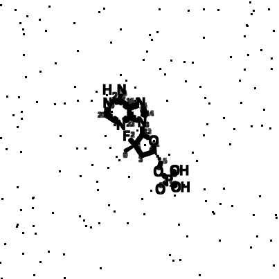 C[C@]1(F)C[C@@H](COP(=O)(O)O)OC1n1cnc2c(N)ncnc21